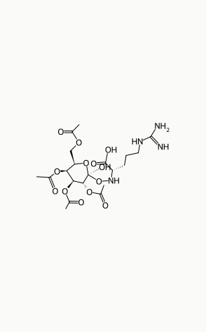 CC(=O)OC[C@H]1O[C@@](O)(ON[C@@H](CCCNC(=N)N)C(=O)O)[C@H](OC(C)=O)[C@@H](OC(C)=O)[C@H]1OC(C)=O